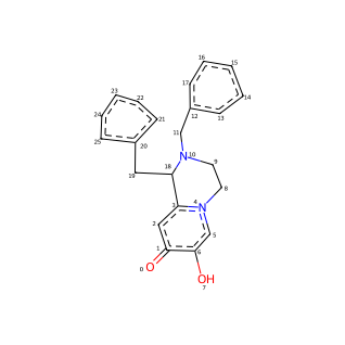 O=c1cc2n(cc1O)CCN(Cc1ccccc1)C2Cc1ccccc1